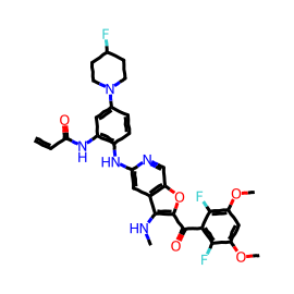 C=CC(=O)Nc1cc(N2CCC(F)CC2)ccc1Nc1cc2c(NC)c(C(=O)c3c(F)c(OC)cc(OC)c3F)oc2cn1